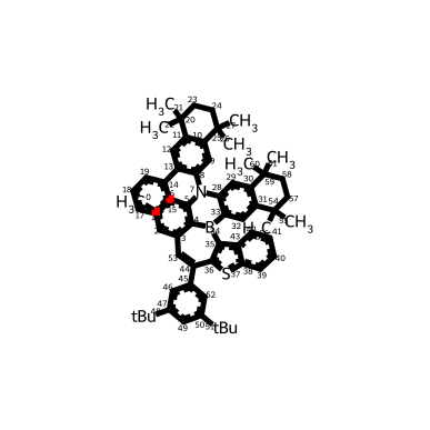 Cc1cc2c3c(c1)N(c1cc4c(cc1-c1ccccc1)C(C)(C)CCC4(C)C)c1cc4c(cc1B3c1c(sc3ccccc13)C(c1cc(C(C)(C)C)cc(C(C)(C)C)c1)=C2)C(C)(C)CCC4(C)C